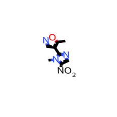 Cc1oncc1-c1ncc([N+](=O)[O-])n1C